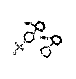 F[B-](F)(F)F.N#[N+]c1ccccc1N1CCOCC1.N#[N+]c1ccccc1N1CCOCC1.[Cl-]